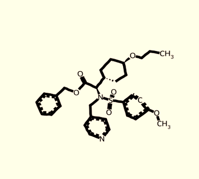 CCCO[C@H]1CC[C@H]([C@H](C(=O)OCc2ccccc2)N(Cc2ccncc2)S(=O)(=O)c2ccc(OC)cc2)CC1